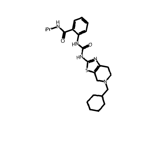 CC(C)NC(=O)c1ccccc1NC(=O)Nc1nc2c(s1)CN(CC1CCCCC1)CC2